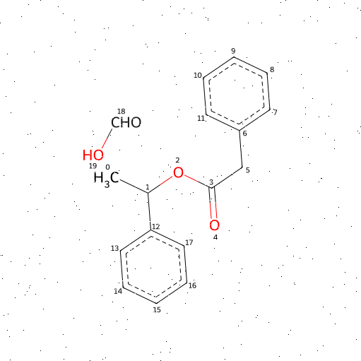 CC(OC(=O)Cc1ccccc1)c1ccccc1.O=CO